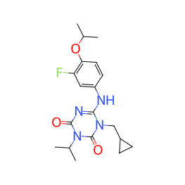 CC(C)Oc1ccc(Nc2nc(=O)n(C(C)C)c(=O)n2CC2CC2)cc1F